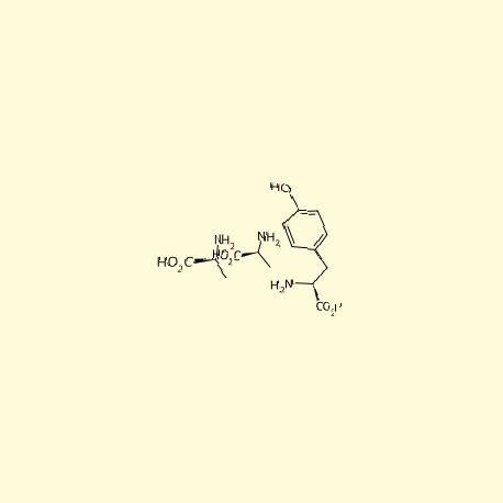 C[C@H](N)C(=O)O.C[C@H](N)C(=O)O.N[C@@H](Cc1ccc(O)cc1)C(=O)O